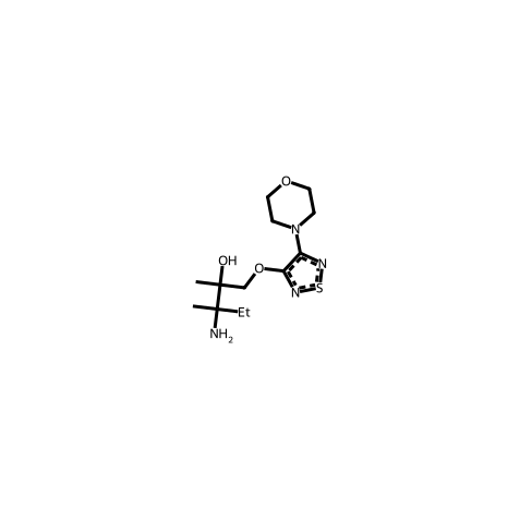 CCC(C)(N)C(C)(O)COc1nsnc1N1CCOCC1